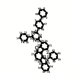 c1ccc(-c2ccc(-c3nc(-c4cccnc4)nc(-c4cccc5c4oc4ccc6c7ccccc7n(-c7ccccc7)c6c45)n3)cc2)cc1